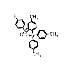 Cc1ccc(S(OS(=O)(=O)c2ccc(F)cc2)(c2ccc(C)cc2)c2ccc(C)cc2)cc1